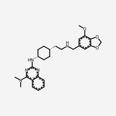 COc1cc(CNCC[C@H]2CC[C@@H](Nc3nc(N(C)C)c4ccccc4n3)CC2)cc2c1OCO2